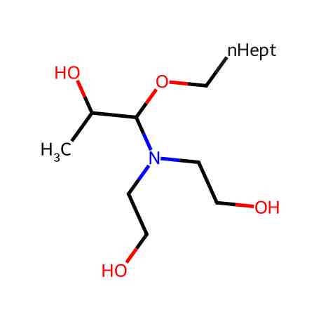 CCCCCCCCOC(C(C)O)N(CCO)CCO